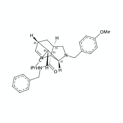 COc1ccc(CN2C[C@@H]3C[C@H]4C=N[C@]3(C(=O)NCc3ccccc3)[C@@H]2[C@@H]4CC(C)C)cc1